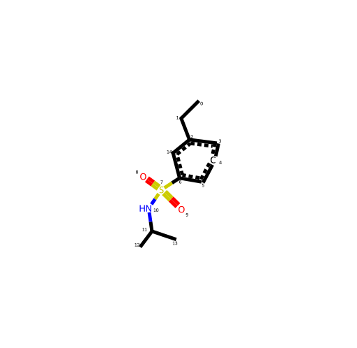 CCc1cccc(S(=O)(=O)NC(C)C)c1